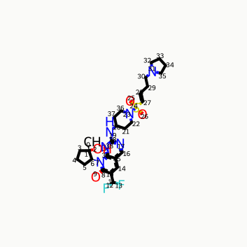 C[C@@]1(O)CCC[C@H]1n1c(=O)c(C(F)F)cc2cnc(NC3CCN(S(=O)(=O)/C=C/CCN4CCCC4)CC3)nc21